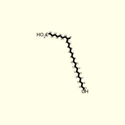 CC(CCCCCCCCCCCCCCCCCCCCO)CCCCCCCC(=O)O